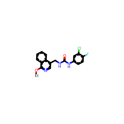 CCOc1ncc(CNC(=O)Nc2ccc(F)c(Cl)c2)c2ccccc12